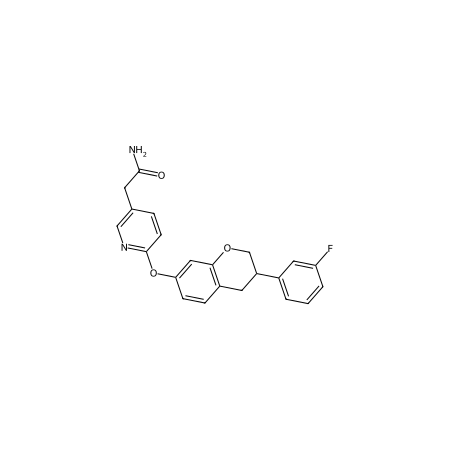 NC(=O)Cc1ccc(Oc2ccc3c(c2)OCC(c2cccc(F)c2)C3)nc1